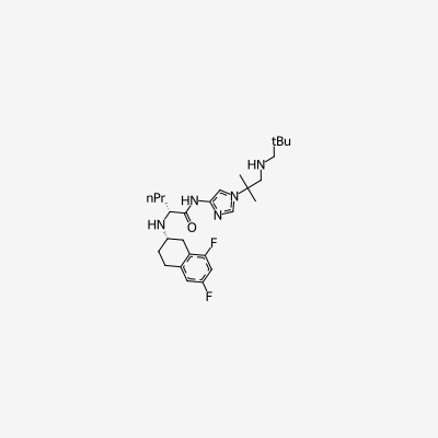 CCC[C@@H](N[C@H]1CCc2cc(F)cc(F)c2C1)C(=O)Nc1cn(C(C)(C)CNCC(C)(C)C)cn1